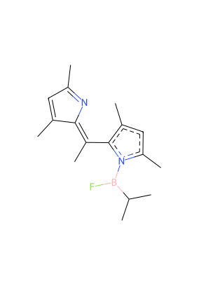 CC1=CC(C)=N/C1=C(/C)c1c(C)cc(C)n1B(F)C(C)C